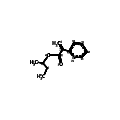 C=C(C(=O)OC(C)CC)c1ccccn1